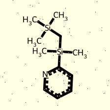 C[Si](C)(C)C[Si](C)(C)c1ccccn1